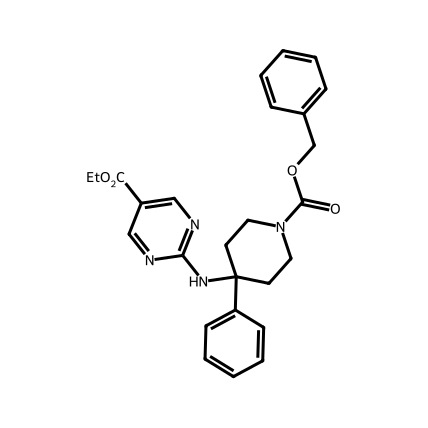 CCOC(=O)c1cnc(NC2(c3ccccc3)CCN(C(=O)OCc3ccccc3)CC2)nc1